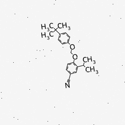 CC(C)c1cc(C#N)ccc1OCOc1ccc(C(C)(C)C)cc1